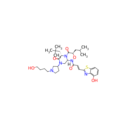 CC(C)C[C@H]1ON(C(=O)/C=C/c2nc3c(O)cccc3s2)[C@H]2CN([C@H]3CCN(CCCCO)C3)C(=O)[C@H](CC(C)(C)C)N2C1=O